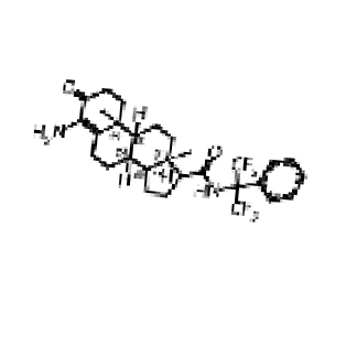 C[C@]12CCC(=O)C(N)=C1CC[C@@H]1[C@H]2CC[C@]2(C)C(C(=O)NC(c3ccccc3)(C(F)(F)F)C(F)(F)F)CC[C@@H]12